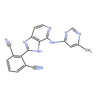 Cc1cc(Nc2nccc3nc(-c4c(C#N)cccc4C#N)[nH]c23)ncn1